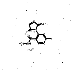 Cc1ccc(C(=O)NN)c(N2C(=O)C=CC2=O)c1.Cl